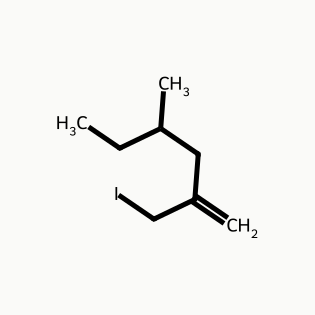 C=C(CI)CC(C)CC